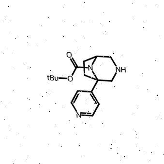 CC(C)(C)OC(=O)N1C2CCC1(c1ccncc1)CNC2